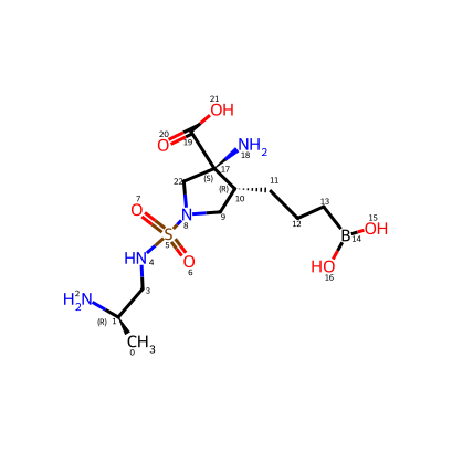 C[C@@H](N)CNS(=O)(=O)N1C[C@@H](CCCB(O)O)[C@@](N)(C(=O)O)C1